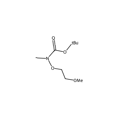 COCCON(C)C(=O)OC(C)(C)C